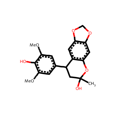 COc1cc(C2CC(C)(O)Oc3cc4c(cc32)OCO4)cc(OC)c1O